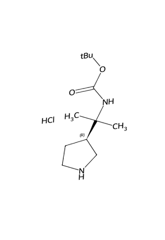 CC(C)(C)OC(=O)NC(C)(C)[C@@H]1CCNC1.Cl